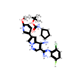 COc1ccc(-c2cc3c(N[C@H]4CC[C@@H](NC(=O)OC(C)(C)C)C4)c(C(N)=Nc4cc(F)ccc4Cl)cnn3c2)cn1